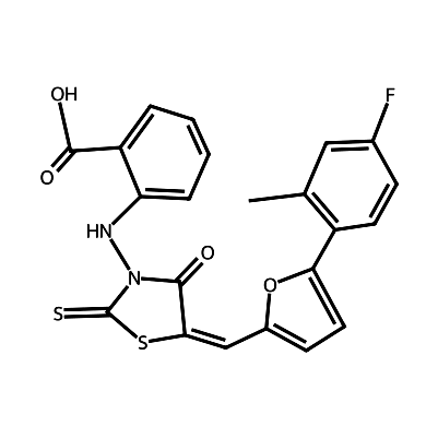 Cc1cc(F)ccc1-c1ccc(C=C2SC(=S)N(Nc3ccccc3C(=O)O)C2=O)o1